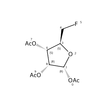 CC(=O)O[C@H]1O[C@H](CF)[C@@H](OC(C)=O)[C@H]1OC(C)=O